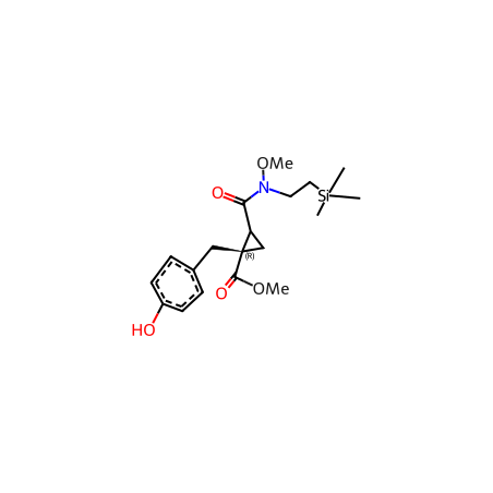 COC(=O)[C@@]1(Cc2ccc(O)cc2)CC1C(=O)N(CC[Si](C)(C)C)OC